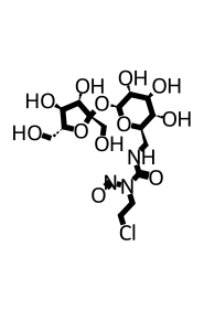 O=NN(CCCl)C(=O)NC[C@H]1O[C@H](O[C@]2(CO)O[C@H](CO)[C@@H](O)[C@@H]2O)[C@H](O)[C@@H](O)[C@@H]1O